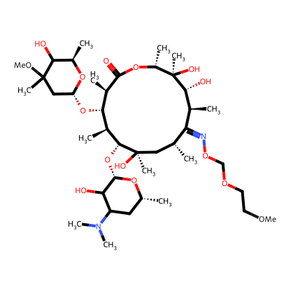 COCCOCO/N=C1\[C@H](C)C[C@@](C)(O)[C@H](O[C@@H]2O[C@H](C)CC(N(C)C)C2O)[C@@H](C)[C@H](O[C@@H]2CC(C)(OC)C(O)[C@@H](C)O2)[C@@H](C)C(=O)O[C@H](C)[C@@](C)(O)[C@H](O)[C@H]1C